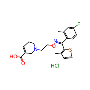 Cc1cc(F)ccc1C(=NOCCN1CCC=C(C(=O)O)C1)c1sccc1C.Cl